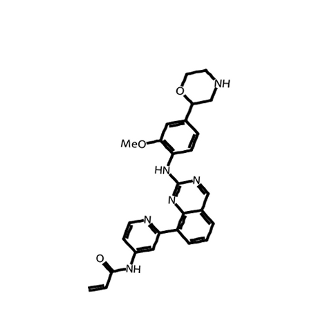 C=CC(=O)Nc1ccnc(-c2cccc3cnc(Nc4ccc(C5CNCCO5)cc4OC)nc23)c1